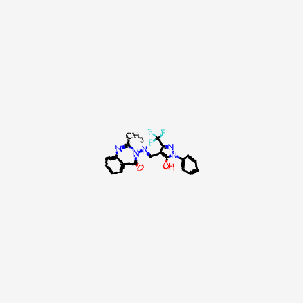 Cc1nc2ccccc2c(=O)n1N=Cc1c(C(F)(F)F)nn(-c2ccccc2)c1O